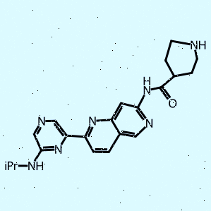 CC(C)Nc1cncc(-c2ccc3cnc(NC(=O)C4CCNCC4)cc3n2)n1